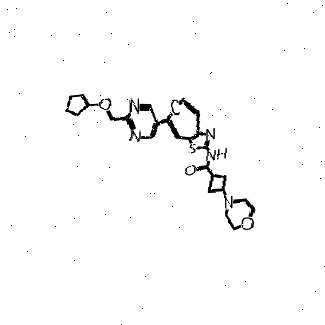 O=C(Nc1nc2c(s1)C=C(c1cnc(COC3CCCC3)nc1)CC=C2)C1CC(N2CCOCC2)C1